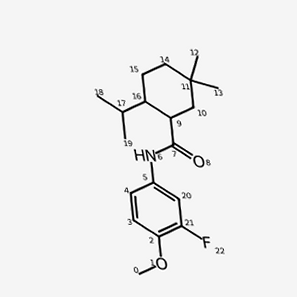 COc1ccc(NC(=O)C2CC(C)(C)CCC2C(C)C)cc1F